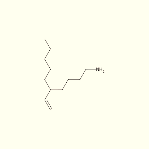 C=CC(CCCCC)CCCCN